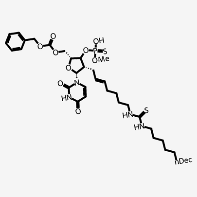 CCCCCCCCCCCCCCCNC(=S)NCCCC/C=C/C[C@H]1C(OP(O)(=S)OC)[C@@H](COC(=O)OCc2ccccc2)O[C@H]1n1ccc(=O)[nH]c1=O